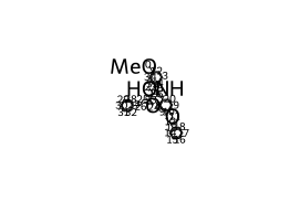 COc1ccc(N[C@H](c2ccc(OCc3ccccc3)cc2)[C@H](O)C(=O)CCc2ccccc2)cc1